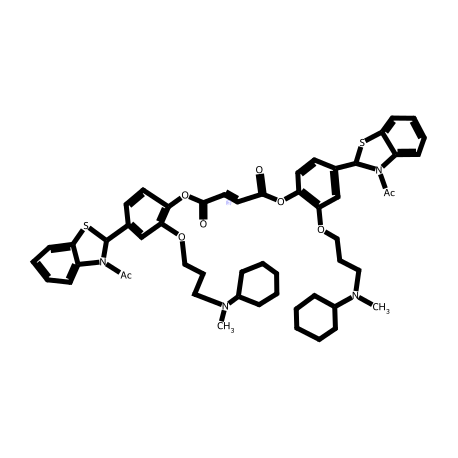 CC(=O)N1c2ccccc2SC1c1ccc(OC(=O)/C=C/C(=O)Oc2ccc(C3Sc4ccccc4N3C(C)=O)cc2OCCCN(C)C2CCCCC2)c(OCCCN(C)C2CCCCC2)c1